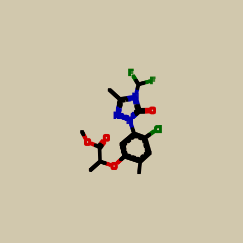 COC(=O)C(C)Oc1cc(-n2nc(C)n(C(F)F)c2=O)c(Cl)cc1C